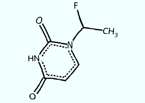 CC(F)n1ccc(=O)[nH]c1=O